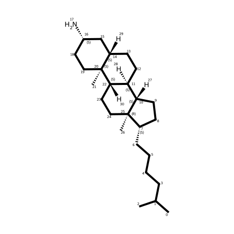 CC(C)CCCC[C@H]1CC[C@H]2[C@@H]3CC[C@H]4C[C@@H](N)CC[C@]4(C)[C@H]3CC[C@]12C